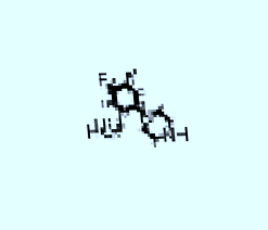 Cc1cc(N2CCNCC2)ccc1F.Cl.Cl